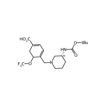 CC(C)(C)OC(=O)N[C@@H]1CCCN(CC2=CC=C(C(=O)O)CC2OC(F)(F)F)C1